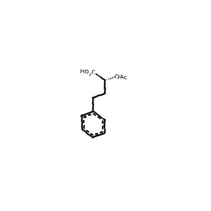 CC(=O)O[C@H](CCc1ccccc1)C(=O)O